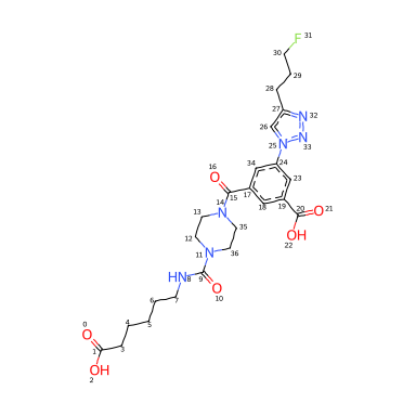 O=C(O)CCCCCNC(=O)N1CCN(C(=O)c2cc(C(=O)O)cc(-n3cc(CCCF)nn3)c2)CC1